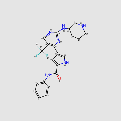 O=C(Nc1ccccc1)c1cc(-c2nc(NC3CCCNC3)ncc2C(F)(F)F)c[nH]1